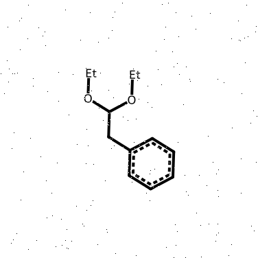 CCOC(Cc1ccccc1)OCC